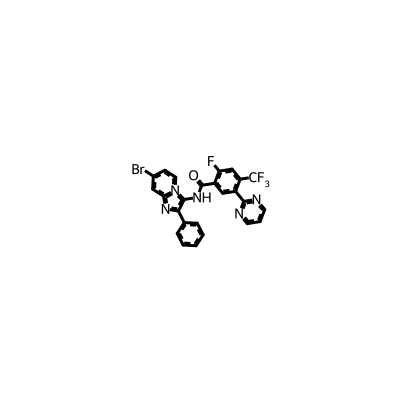 O=C(Nc1c(-c2ccccc2)nc2cc(Br)ccn12)c1cc(-c2ncccn2)c(C(F)(F)F)cc1F